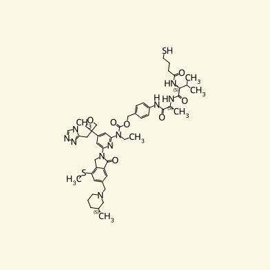 CCN(C(=O)OCc1ccc(NC(=O)[C@H](C)NC(=O)[C@@H](NC(=O)CCCS)C(C)C)cc1)c1cc(C2(Cc3nncn3C)COC2)cc(N2Cc3c(SC)cc(CN4CCC[C@H](C)C4)cc3C2=O)n1